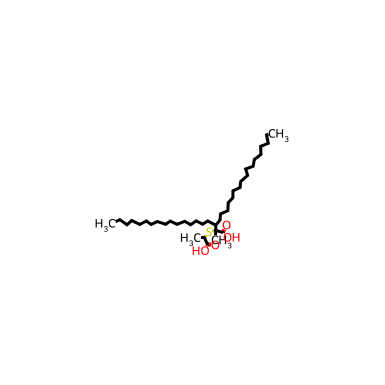 CCCCCCCCCCCCCCCCCC(CCCCCCCCCCCCCCCC)C(C)(SC(C)C(=O)O)C(=O)O